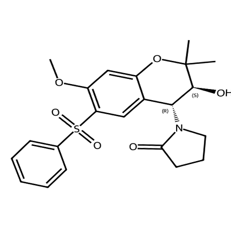 COc1cc2c(cc1S(=O)(=O)c1ccccc1)[C@@H](N1CCCC1=O)[C@H](O)C(C)(C)O2